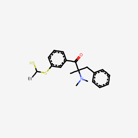 CCC(S)Sc1cccc(C(=O)C(C)(Cc2ccccc2)N(C)C)c1